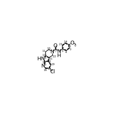 COc1ccc(NC(=O)N2CCc3[nH]c4ncc(Cl)cc4c3C2)cc1